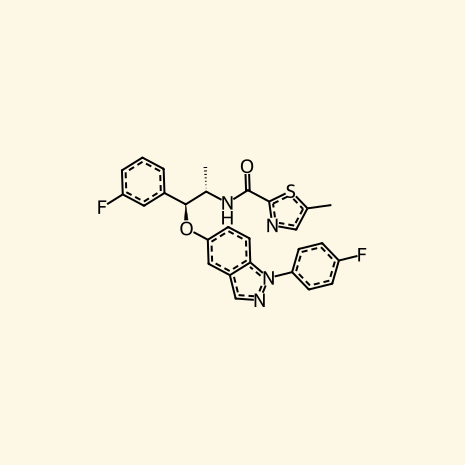 Cc1cnc(C(=O)N[C@@H](C)[C@@H](Oc2ccc3c(cnn3-c3ccc(F)cc3)c2)c2cccc(F)c2)s1